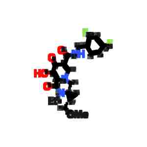 CCN1C(=O)c2c(O)c(=O)c(C(=O)NCc3ccc(F)cc3F)cn2C[C@@]12C[C@@H]2COC